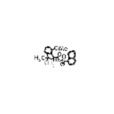 COc1cccc2c1C(C(=O)NS(=O)(=O)c1cccc3ccccc13)CC2(C)C